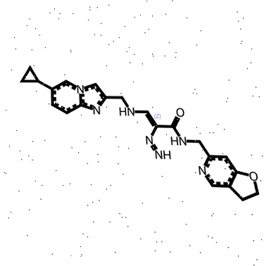 N=N/C(=C\NCc1cn2cc(C3CC3)ccc2n1)C(=O)NCc1cc2c(cn1)CCO2